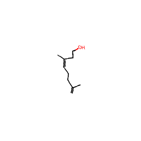 C=C(C)CCC=C(C)CCO